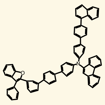 c1ccc(-c2c(-c3cccc(-c4ccc(-c5ccc(N(c6ccc(-c7ccc(-c8cccc9ccccc89)cc7)cc6)c6cc7ccccc7c7ccccc67)cc5)cc4)c3)oc3ccccc23)cc1